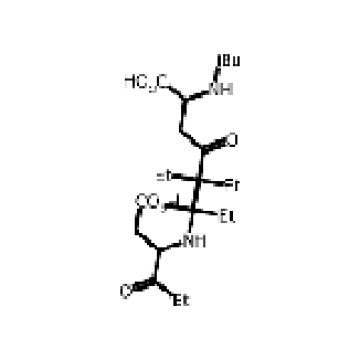 CCC(=O)C(CC(=O)O)NC(C)(CC)C(CC)(CC)C(=O)CC(NC(C)CC)C(=O)O